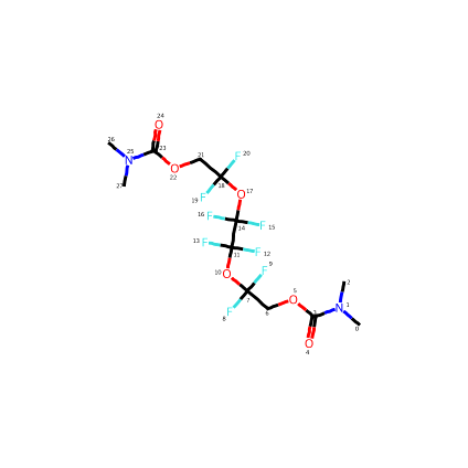 CN(C)C(=O)OCC(F)(F)OC(F)(F)C(F)(F)OC(F)(F)COC(=O)N(C)C